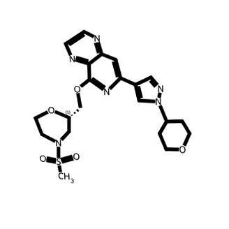 CS(=O)(=O)N1CCO[C@H](COc2nc(-c3cnn(C4CCOCC4)c3)cc3nccnc23)C1